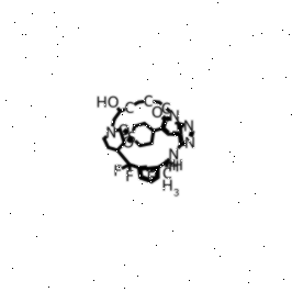 C[C@H]1Nc2ncnc3c2cc(C2CCS(=O)(=O)CC2)c(=O)n3CCCCCC(O)CN2CCC(CC2)C(F)(F)c2cccc1c2F